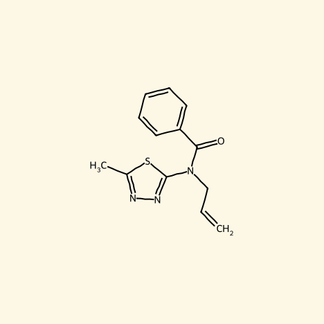 C=CCN(C(=O)c1ccccc1)c1nnc(C)s1